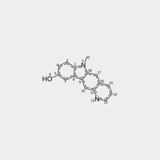 Cn1c2ccc(O)cc2c2cc3ncccc3cc21